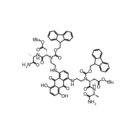 C[C@H](NC(=O)[C@H](CC(=O)OC(C)(C)C)N(CCNc1ccc(NCCN(C(=O)OCC2c3ccccc3-c3ccccc32)[C@@H](CC(=O)OC(C)(C)C)C(=O)N[C@@H](C)C(N)=O)c2c1C(=O)c1c(O)ccc(O)c1C2=O)C(=O)OCC1c2ccccc2-c2ccccc21)C(N)=O